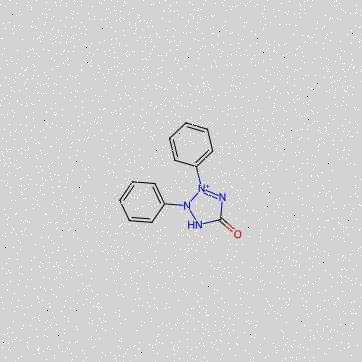 O=c1n[n+](-c2ccccc2)n(-c2ccccc2)[nH]1